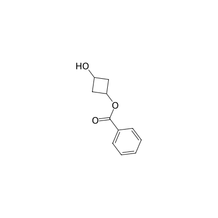 O=C(OC1CC(O)C1)c1ccccc1